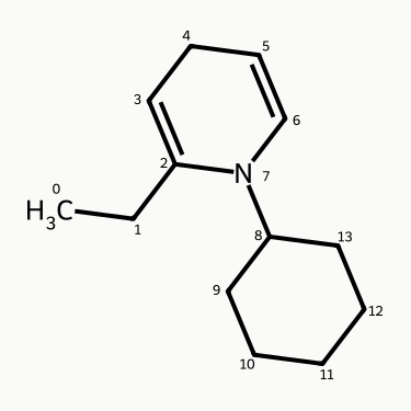 CCC1=CCC=CN1C1CCCCC1